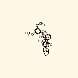 COc1cc(CNC(=O)c2ccc(N3C4CCC3CC(NC(=O)c3cccc(OC)c3C)C4)nc2)cc(OC)c1